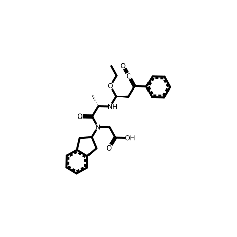 CCO[C@@H](CC(=C=O)c1ccccc1)N[C@@H](C)C(=O)N(CC(=O)O)C1Cc2ccccc2C1